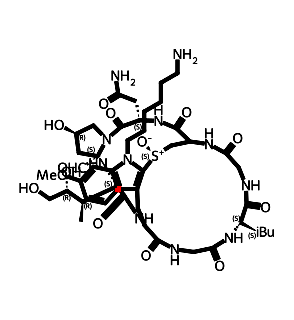 CC[C@H](C)[C@@H]1NC(=O)CNC(=O)C2Cc3c(n(CCCCCCN)c4cc(OC)ccc34)[S@+]([O-])CC(NC(=O)CNC1=O)C(=O)N[C@@H](CC(N)=O)C(=O)N1C[C@H](O)C[C@]1(C=O)N[C@@H]([C@@H](C)[C@@H](O)CO)C(=O)N2